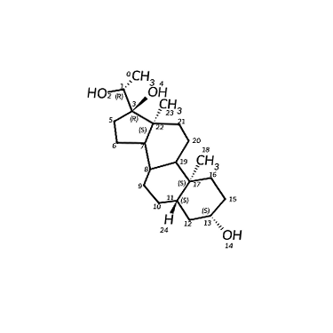 C[C@@H](O)[C@@]1(O)CCC2C3CC[C@H]4C[C@@H](O)CC[C@]4(C)C3CC[C@@]21C